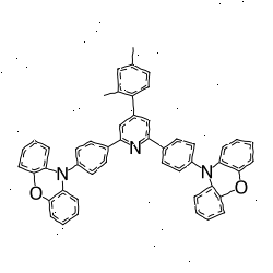 Cc1ccc(-c2cc(-c3ccc(N4c5ccccc5Oc5ccccc54)cc3)nc(-c3ccc(N4c5ccccc5Oc5ccccc54)cc3)c2)c(C)c1